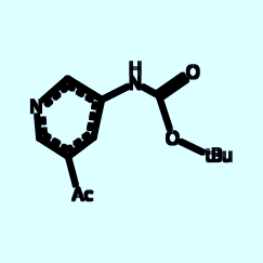 CC(=O)c1cncc(NC(=O)OC(C)(C)C)c1